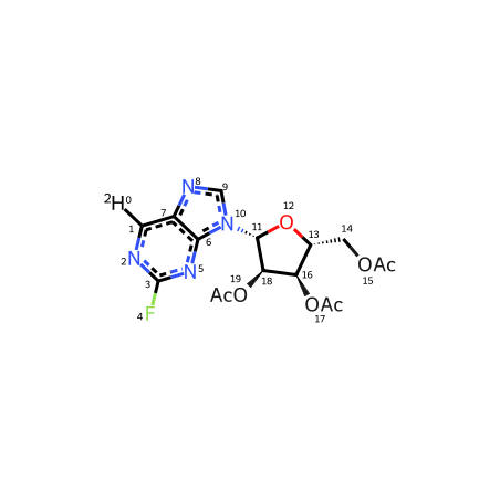 [2H]c1nc(F)nc2c1ncn2[C@@H]1O[C@H](COC(C)=O)[C@@H](OC(C)=O)[C@H]1OC(C)=O